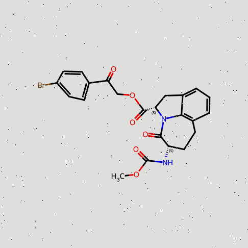 COC(=O)N[C@H]1CCc2cccc3c2N(C1=O)[C@H](C(=O)OCC(=O)c1ccc(Br)cc1)C3